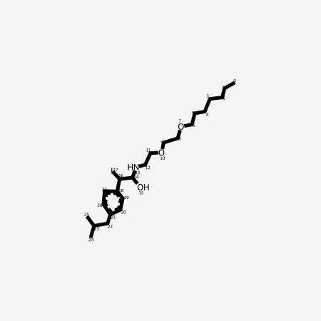 CCCCCCCOCCOCCNC(O)C(I)c1ccc(CC(C)C)cc1